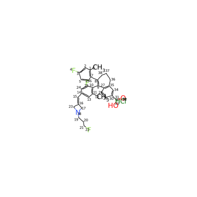 Cc1cc(F)ccc1C1=C(c2c(C)cc(C=C3CN(CCCF)C3)cc2F)c2ccc(C(=O)O)cc2CCC1.Cl